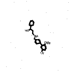 COc1ccc(C#N)cc1-c1ccc(CNCCC(O)c2ccccc2)cc1